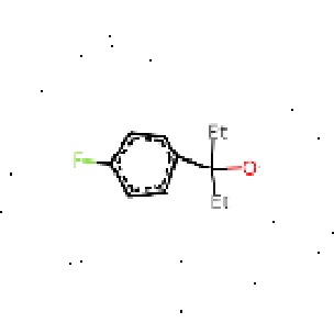 CCC([O])(CC)c1ccc(F)cc1